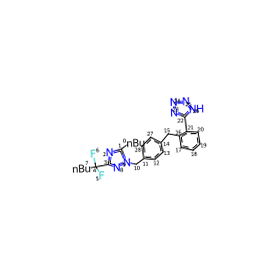 CCCCc1nc(C(F)(F)CCCC)nn1Cc1ccc(Cc2ccccc2-c2nnn[nH]2)cc1